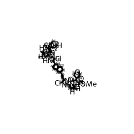 COC(=O)N[C@H](C(=O)N1[C@@H]2C[C@H]2C[C@H]1c1nc(Cl)c(C#Cc2ccc3cc(-c4[nH]c([C@@H]5C[C@H]6C[C@H]6N5C(=O)[C@@H](NC(=O)O)C5CCOCC5)nc4Cl)ccc3c2)[nH]1)C1CCOCC1